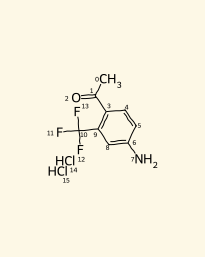 CC(=O)c1ccc(N)cc1C(F)(F)F.Cl.Cl